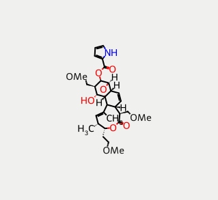 COCC[C@H]1OC(=O)[C@H](COC)[C@H]2C=C[C@H]3[C@H]4O[C@]2(/C(C)=C/[C@H]1C)[C@@H]3[C@H](O)[C@@H](COC)[C@H]4OC(=O)c1ccc[nH]1